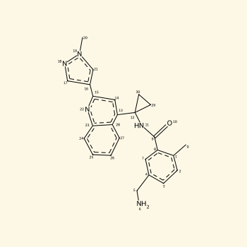 Cc1ccc(CN)cc1C(=O)NC1(c2cc(-c3cnn(C)c3)nc3ccccc23)CC1